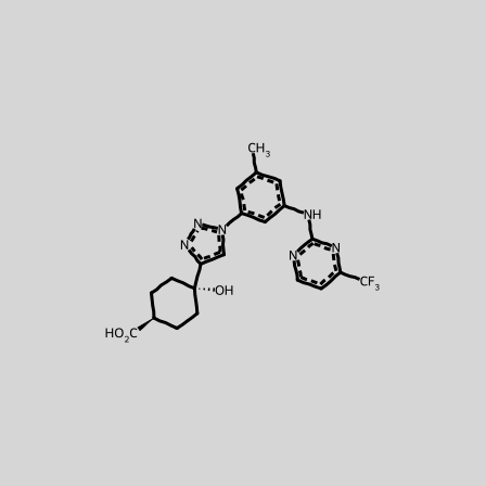 Cc1cc(Nc2nccc(C(F)(F)F)n2)cc(-n2cc([C@]3(O)CC[C@H](C(=O)O)CC3)nn2)c1